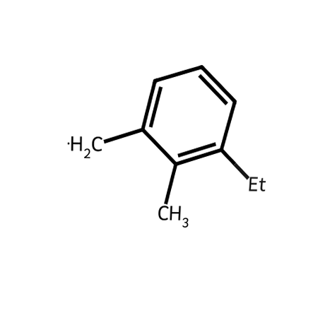 [CH2]c1cccc(CC)c1C